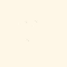 O=[N+]([O-])c1cc(N2CCCC2)c2ccccc2c1[N+](=O)[O-]